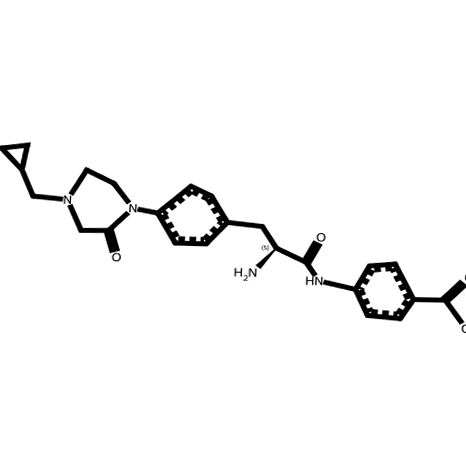 N[C@@H](Cc1ccc(N2CCN(CC3CC3)CC2=O)cc1)C(=O)Nc1ccc(C(=O)O)cc1